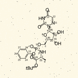 C[C@H](NP(=O)(OC[C@H]1O[C@@H](n2ncc(=O)[nH]c2=O)[C@H](O)[C@@H]1O)Oc1ccccc1)C(=O)OC(C)(C)C